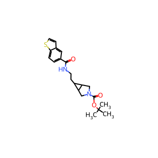 CC(C)(C)OC(=O)N1CC2C(CCNC(=O)c3ccc4sccc4c3)C2C1